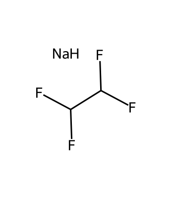 FC(F)C(F)F.[NaH]